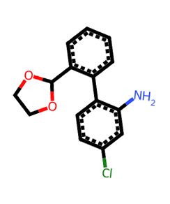 Nc1cc(Cl)ccc1-c1ccccc1C1OCCO1